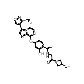 O=C(NCC(=O)N1CC(O)C1)c1ccc(Oc2nccn3c(-c4conc4C(F)(F)F)cnc23)cc1O